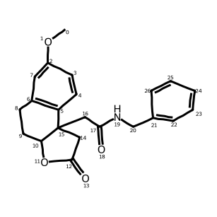 COc1ccc2c(c1)CCC1OC(=O)CC21CC(=O)NCc1ccccc1